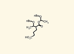 CCCCOC(C)OC(=O)C(CCCC(=O)O)C(C)OCCCC